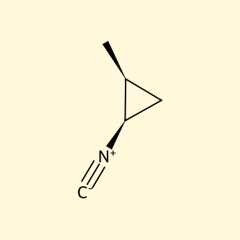 [C-]#[N+][C@@H]1C[C@@H]1C